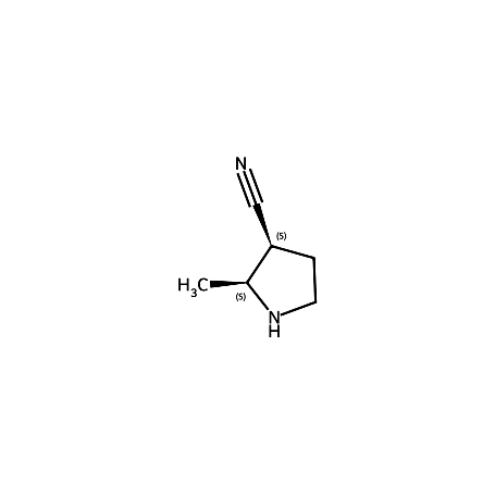 C[C@@H]1NCC[C@@H]1C#N